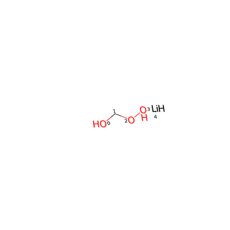 OCOO.[LiH]